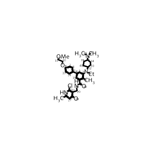 CCN(c1cc(-c2ccc(OCCOC)cc2)cc(C(=O)NCc2c(Cl)[nH]c(C)cc2=O)c1C)C1CCC(N(C)C)CC1